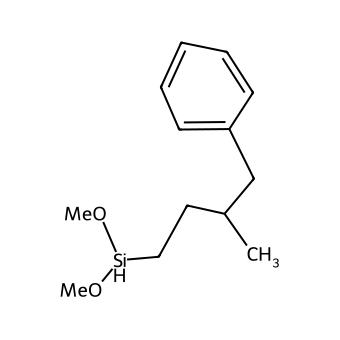 CO[SiH](CCC(C)Cc1ccccc1)OC